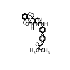 CN(C)C(=O)CN1CCN(c2ccc(Nc3ncc4c(=O)n(-c5c(Cl)cccc5Cl)c(=O)[nH]c4n3)cc2)CC1